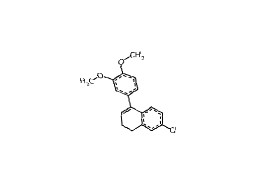 COc1ccc(C2=CCCc3cc(Cl)ccc32)cc1OC